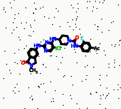 CC(=O)c1ccc(NC(=O)N2CCC(Nc3nc(Nc4ccc5c(c4)CN(C)C5=O)ncc3Cl)CC2)c(F)c1